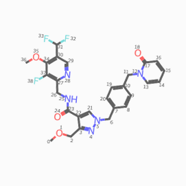 COCc1nn(Cc2ccc(Cn3ccccc3=O)cc2)cc1C(=O)NCc1ncc(C(F)F)c(OC)c1F